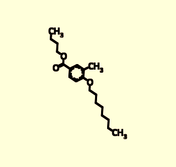 CCCCCCCCOc1ccc(C(=O)OCCCC)cc1C